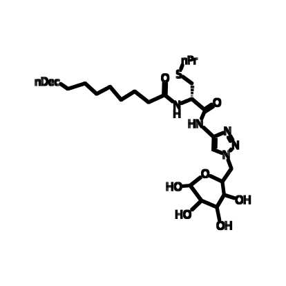 [CH2][CH]CSC[C@@H](NC(=O)CCCCCCCCCCCCCCCCC)C(=O)Nc1cn(CC2OC(O)C(O)C(O)C2O)nn1